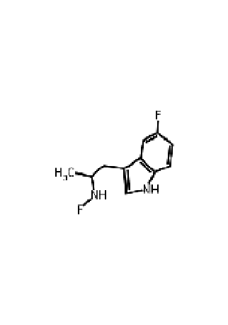 CC(Cc1c[nH]c2ccc(F)cc12)NF